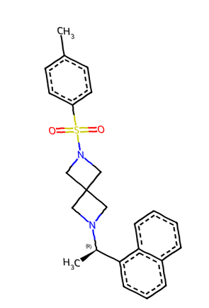 Cc1ccc(S(=O)(=O)N2CC3(CN([C@H](C)c4cccc5ccccc45)C3)C2)cc1